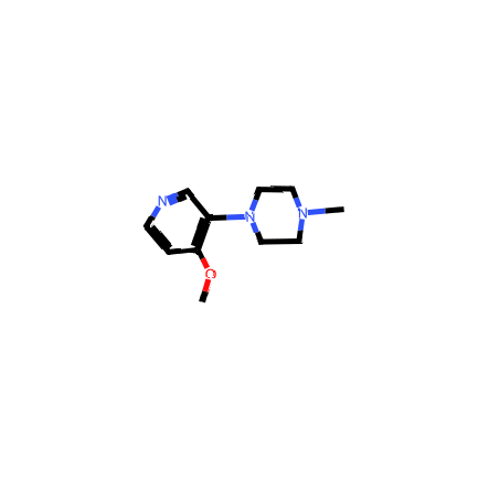 COc1ccncc1N1CCN(C)CC1